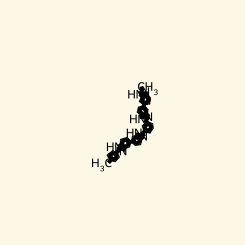 Cc1ccc(-c2nc3cc(-c4ccc5nc(-c6cccc(-c7nc8cc(-c9ccc%10nc(C)[nH]c%10c9)ccc8[nH]7)c6)[nH]c5c4)ccc3[nH]2)cc1